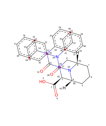 O=C(O)[C@@H]1[C@H]2CCC[C@@H](CN1C(=O)N(c1ccccc1)c1ccccc1)N2C(=O)N(c1ccccc1)c1ccccc1